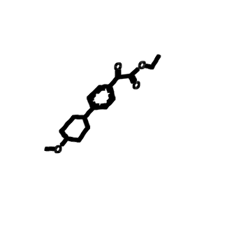 CCOC(=O)C(=O)c1ccc(C2CCC(OC)CC2)cc1